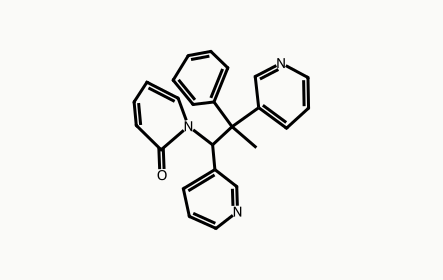 CC(c1ccccc1)(c1cccnc1)C(c1cccnc1)n1ccccc1=O